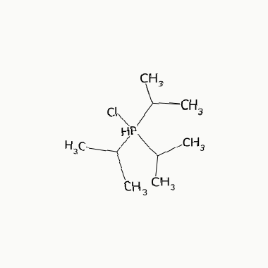 CC(C)[PH](Cl)(C(C)C)C(C)C